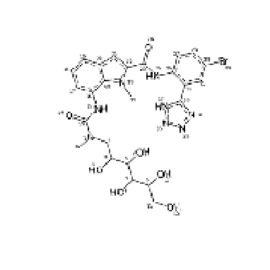 CN(CC(O)C(O)C(O)C(O)CO)C(=O)Nc1cccc2cc(C(=O)Nc3ccc(Br)cc3-c3nnn[nH]3)n(C)c12